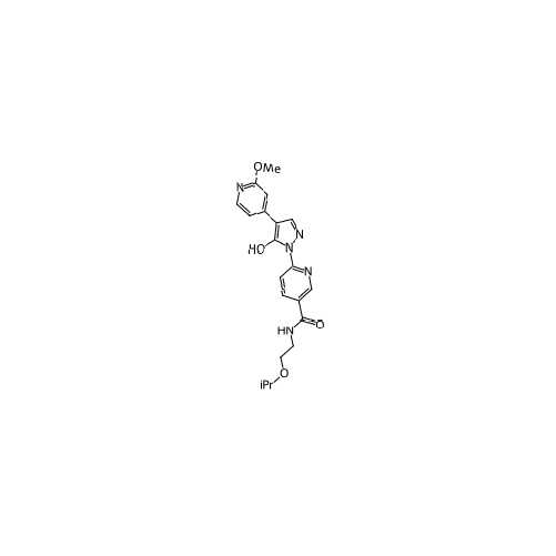 COc1cc(-c2cnn(-c3ccc(C(=O)NCCOC(C)C)cn3)c2O)ccn1